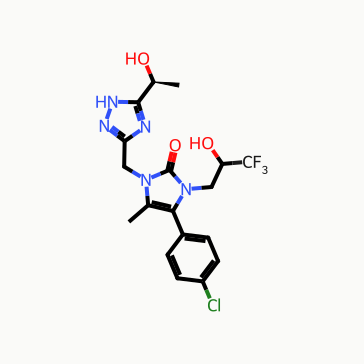 Cc1c(-c2ccc(Cl)cc2)n(CC(O)C(F)(F)F)c(=O)n1Cc1n[nH]c([C@H](C)O)n1